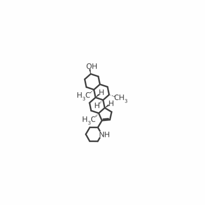 C[C@H]1CC2C[C@H](O)CC[C@]2(C)[C@H]2CC[C@]3(C)C(C4CCCCN4)=CC[C@H]3[C@H]12